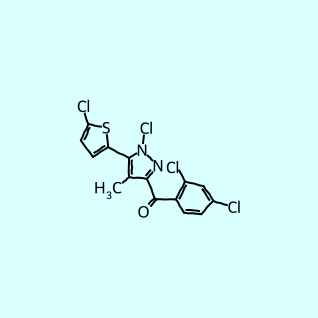 Cc1c(C(=O)c2ccc(Cl)cc2Cl)nn(Cl)c1-c1ccc(Cl)s1